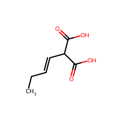 CCC=CC(C(=O)O)C(=O)O